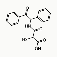 O=C(O)C(S)C(=O)NC(C(=O)c1ccccc1)c1ccccc1